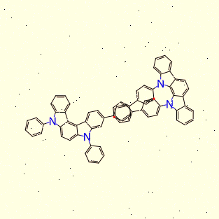 c1ccc(-c2ccc(-n3c4ccccc4c4ccc5c6ccccc6n(-c6ccc(-c7ccc(-c8ccc9c%10c%11c%12ccccc%12n(-c%12ccccc%12)c%11ccc%10n(-c%10ccccc%10)c9c8)cc7)cc6)c5c43)cc2)cc1